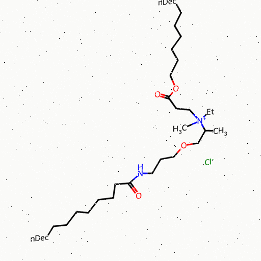 CCCCCCCCCCCCCCCCCC(=O)NCCCOCC(C)[N+](C)(CC)CCC(=O)OCCCCCCCCCCCCCCCC.[Cl-]